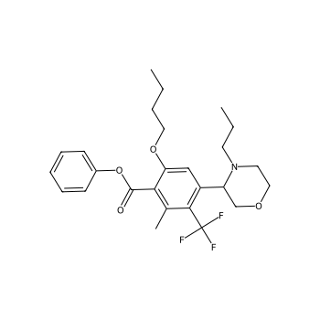 CCCCOc1cc(C2COCCN2CCC)c(C(F)(F)F)c(C)c1C(=O)Oc1ccccc1